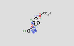 C=N/N=C\N(N)c1ccc(Cl)cc1/C=C/C(=O)N[C@@H](Cc1ccccc1)c1cc(-c2ccc(NC(=O)OCCC(=O)O)cc2)c(Cl)nn1